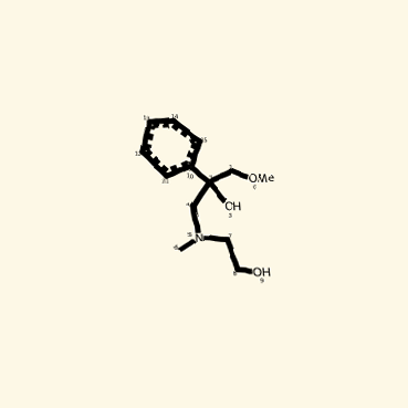 COCC(O)(CN(C)CCO)c1ccccc1